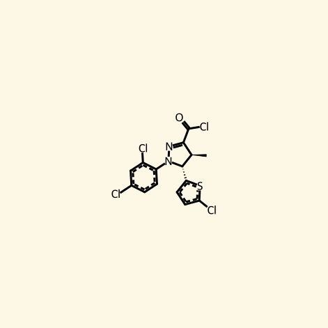 C[C@@H]1C(C(=O)Cl)=NN(c2ccc(Cl)cc2Cl)[C@H]1c1ccc(Cl)s1